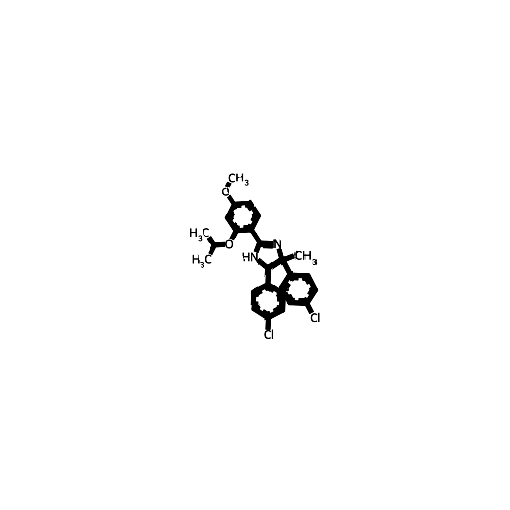 COc1ccc(C2=NC(C)(c3ccc(Cl)cc3)C(c3ccc(Cl)cc3)N2)c(OC(C)C)c1